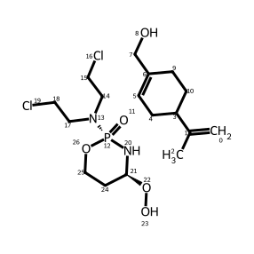 C=C(C)C1CC=C(CO)CC1.O=[P@@]1(N(CCCl)CCCl)N[C@@H](OO)CCO1